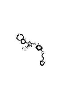 Nc1nc(Nc2ccc(OCCN3CCCC3)cc2)nn1-c1ccc2c(n1)CCCCCC2